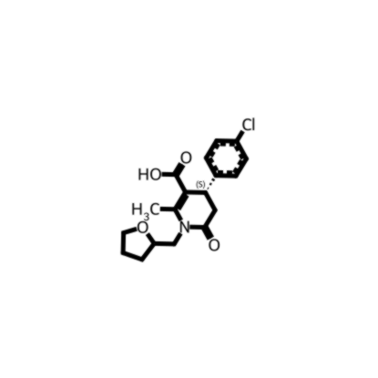 CC1=C(C(=O)O)[C@H](c2ccc(Cl)cc2)CC(=O)N1CC1CCCO1